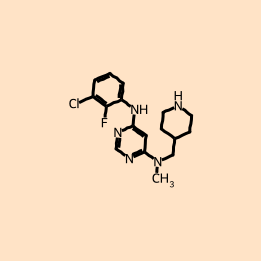 CN(CC1CCNCC1)c1cc(Nc2cccc(Cl)c2F)ncn1